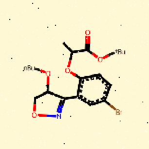 CCCCOC1CON=C1c1cc(Br)ccc1OC(C)C(=O)OC(C)(C)C